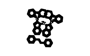 C1=C(n2c3c(c4ccccc42)CCCC3)[CH]([Zr][CH]2C(n3c4c(c5ccccc53)CCCC4)=Cc3ccccc32)c2ccccc21.c1ccc(CCc2ccccc2)cc1